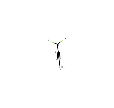 CC#CC(F)F